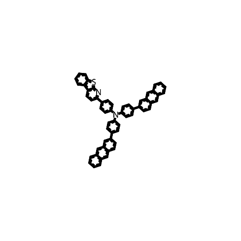 c1ccc2cc3cc(-c4ccc(N(c5ccc(-c6ccc7cc8ccccc8cc7c6)cc5)c5ccc(-c6ccc7c(n6)sc6ccccc67)cc5)cc4)ccc3cc2c1